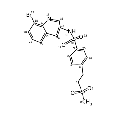 CS(=O)(=O)CCc1ccc(S(=O)(=O)Nc2cnc3c(Br)cccc3c2)cc1